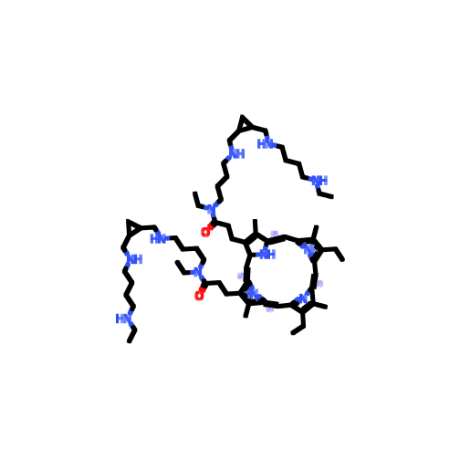 CCNCCCCNCC1CC1CNCCCCN(CC)C(=O)CCC1=C(C)/C2=C/c3[nH]c(c(CC)c3C)/C=C3N=C(/C=c4\[nH]/c(c(CCC(=O)N(CC)CCCCNCC5CC5CNCCCCNCC)c4C)=C\C1N2)C(CC)=C\3C